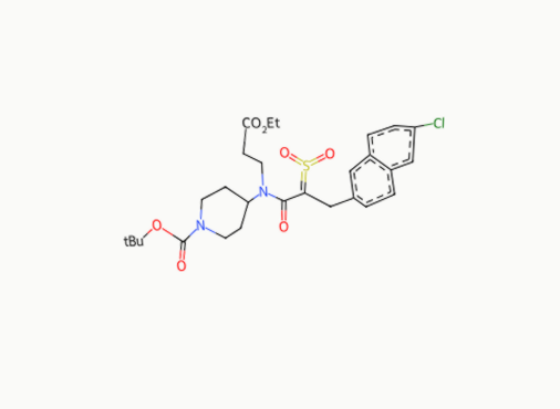 CCOC(=O)CCN(C(=O)C(Cc1ccc2cc(Cl)ccc2c1)=S(=O)=O)C1CCN(C(=O)OC(C)(C)C)CC1